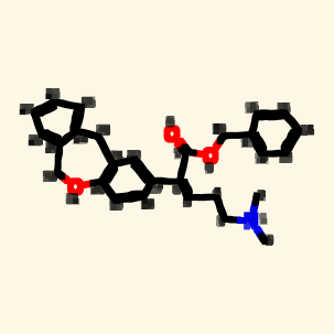 CN(C)CCC=C(C(=O)OCc1ccccc1)c1ccc2c(c1)Cc1ccccc1CO2